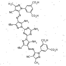 Cc1nn(-c2cc(C(=O)O)cc(C(=O)O)c2)c(N=Nc2c(C(C)(C)C)nn(-c3nc(N)nc(-n4nc(C(C)(C)C)c(N=Nc5c(C#N)c(C)nn5-c5cc(C(=O)O)cc(C(=O)O)c5)c4N)n3)c2N)c1C#N